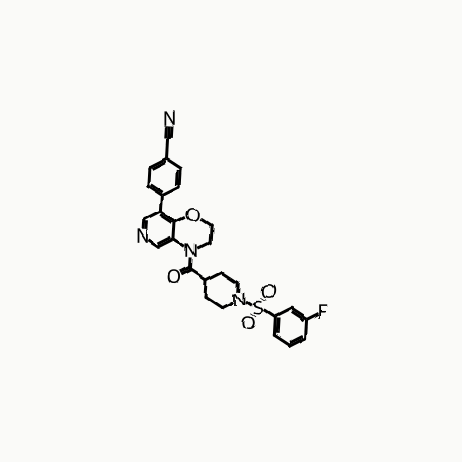 N#Cc1ccc(-c2cncc3c2OCCN3C(=O)C2CCN(S(=O)(=O)c3cccc(F)c3)CC2)cc1